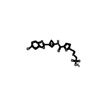 CS(=O)(=O)CN=Cc1ccc(C(=O)NC23CC(c4nc5ccc(Cl)cc5o4)(C2)C3)o1